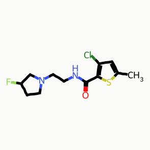 Cc1cc(Cl)c(C(=O)NCCN2CCC(F)C2)s1